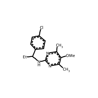 CCC(Nc1nc(C)c(OC)c(C)n1)c1ccc(Cl)cc1